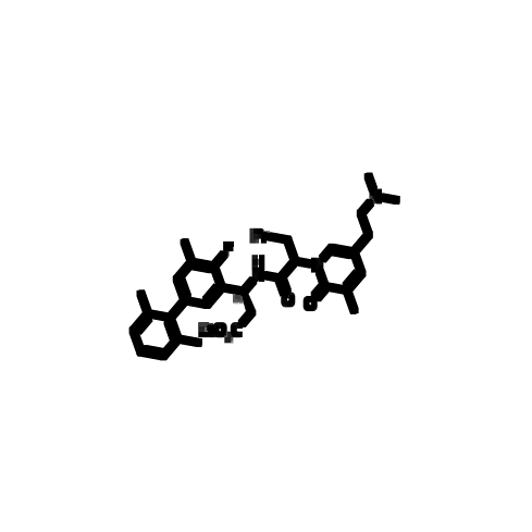 CCOC(=O)C[C@H](NC(=O)C(CC(C)C)n1cc(CCN(C)C)cc(C)c1=O)c1cc(-c2c(C)cccc2C)cc(C)c1F